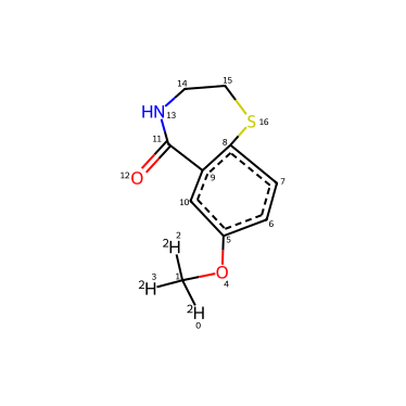 [2H]C([2H])([2H])Oc1ccc2c(c1)C(=O)NCCS2